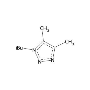 CCC(C)n1nnc(C)c1C